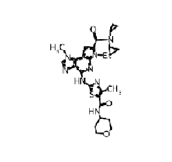 CCn1c(C(=O)N(C2CC2)C2CC2)cc2c3c(ncn3C)c(Nc3nc(C)c(C(=O)NC4CCOCC4)s3)nc21